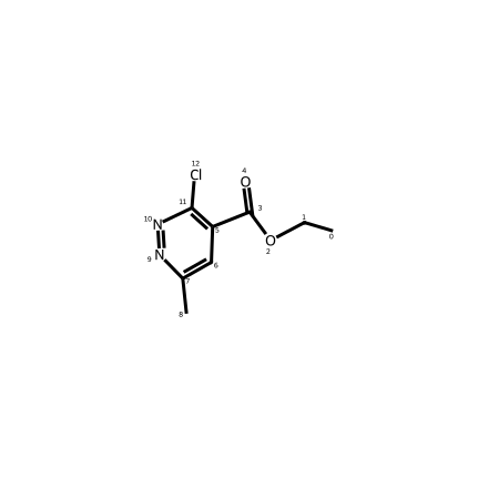 CCOC(=O)c1cc(C)nnc1Cl